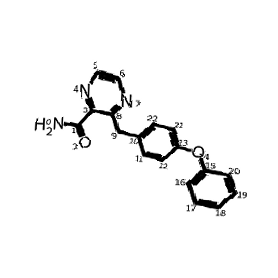 NC(=O)c1nccnc1Cc1ccc(Oc2ccccc2)cc1